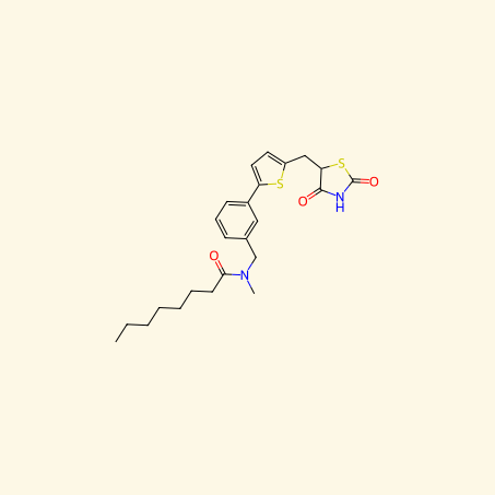 CCCCCCCC(=O)N(C)Cc1cccc(-c2ccc(CC3SC(=O)NC3=O)s2)c1